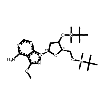 COc1nn([C@H]2CC(O[Si](C)(C)C(C)(C)C)[C@@H](CO[Si](C)(C)C(C)(C)C)O2)c2ncnc(N)c12